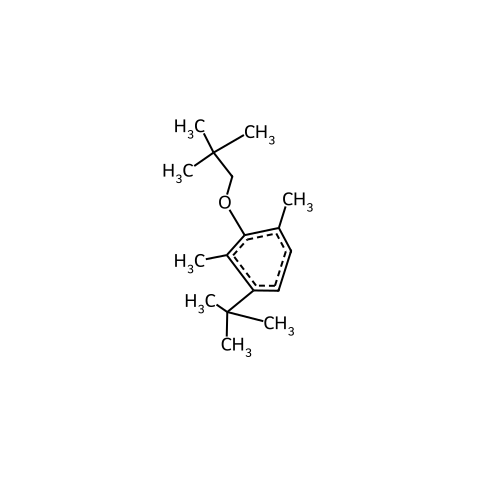 Cc1ccc(C(C)(C)C)c(C)c1OCC(C)(C)C